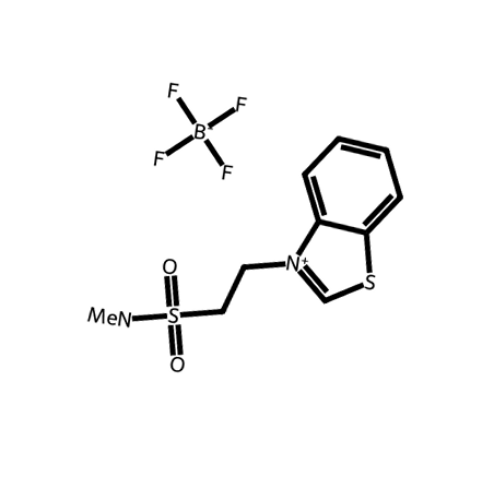 CNS(=O)(=O)CC[n+]1csc2ccccc21.F[B-](F)(F)F